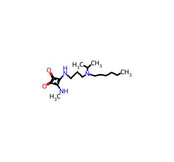 CCCCCCN(CCCNc1c(NC)c(=O)c1=O)C(C)C